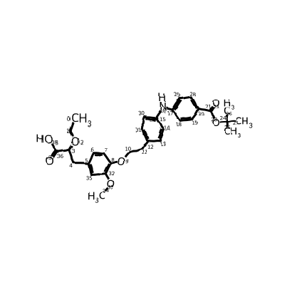 CCOC(Cc1ccc(OCCc2ccc(Nc3ccc(C(=O)OC(C)(C)C)cc3)cc2)c(OC)c1)C(=O)O